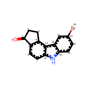 O=C1CCc2c1ccc1[nH]c3ccc(Br)cc3c21